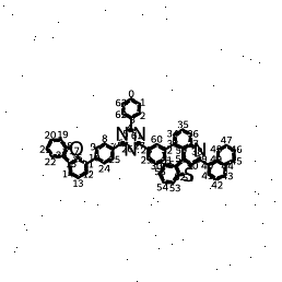 c1ccc(-c2nc(-c3ccc(-c4cccc5c4oc4ccccc45)cc3)nc(-c3cccc(-c4cccc5nc(-c6cccc7ccccc67)c6sc7ccccc7c6c45)c3)n2)cc1